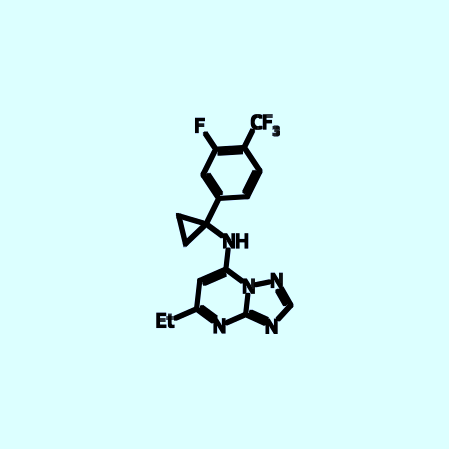 CCc1cc(NC2(c3ccc(C(F)(F)F)c(F)c3)CC2)n2ncnc2n1